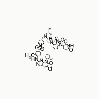 Cc1cc(S(=O)(=O)N2CCC(CN(CC(F)F)C3CCN(c4cccc5c4n(C)c(=O)n5C4CCC(=O)NC4=O)CC3)CC2)ccc1Nc1ncc2cc(Cl)c(=O)n(C3CCCC34CC4)c2n1